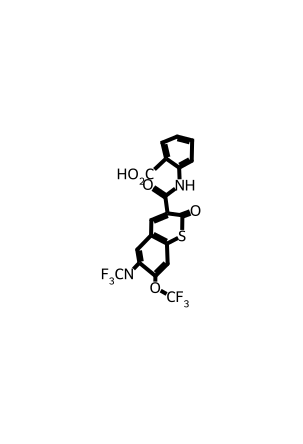 O=C(O)c1ccccc1NC(=O)c1cc2cc(NC(F)(F)F)c(OC(F)(F)F)cc2sc1=O